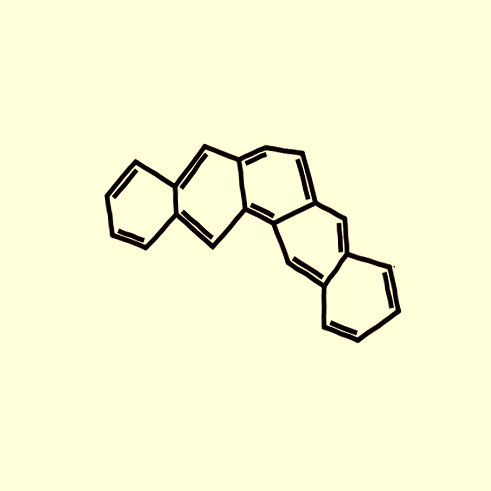 [c]1cccc2cc3c(ccc4cc5ccccc5cc43)cc12